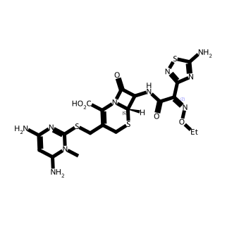 CCO/N=C(\C(=O)NC1C(=O)N2C(C(=O)O)=C(CSC3=NC(N)=CC(N)N3C)CS[C@@H]12)c1nsc(N)n1